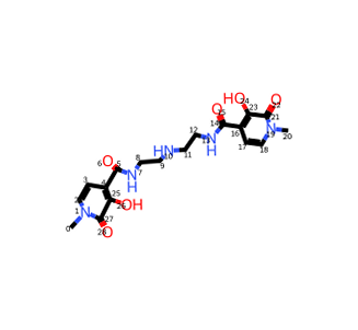 Cn1ccc(C(=O)NCCNCCNC(=O)c2ccn(C)c(=O)c2O)c(O)c1=O